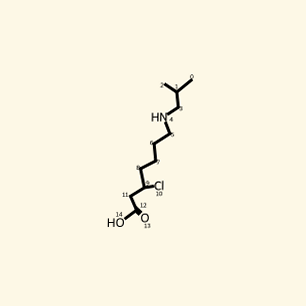 CC(C)CNCCCCC(Cl)CC(=O)O